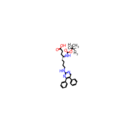 CC(C)(C)OC(=O)N[C@H](CCCCNc1ncc(-c2ccccc2)c(-c2ccccc2)n1)CCC(=O)O